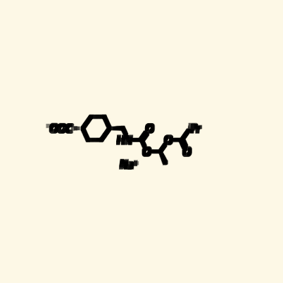 CC(C)C(=O)O[C@@H](C)OC(=O)NC[C@H]1CC[C@H](C(=O)[O-])CC1.[Na+]